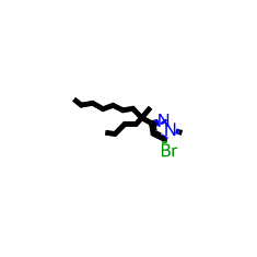 CCCCCCCC(C)(CCCC)c1cc(Br)n(C)n1